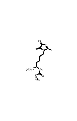 CC1=NC(=O)C(=O)N1CCCCC(NC(=O)OC(C)(C)C)C(=O)O